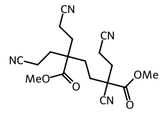 COC(=O)C(C#N)(CCC#N)CCC(CCC#N)(CCC#N)C(=O)OC